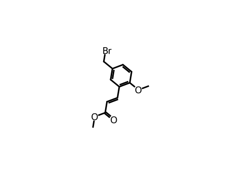 COC(=O)/C=C/c1cc(CBr)ccc1OC